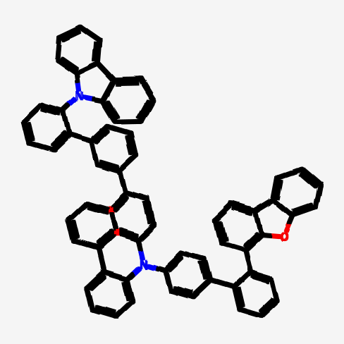 c1ccc(-c2ccccc2N(c2ccc(-c3cccc(-c4ccccc4-n4c5ccccc5c5ccccc54)c3)cc2)c2ccc(-c3ccccc3-c3cccc4c3oc3ccccc34)cc2)cc1